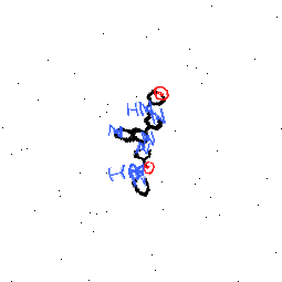 O=C(NN1CCCCC1)C1CCN(c2nc(-c3ccnc(NC4CCOCC4)c3)cc3cnccc23)CC1